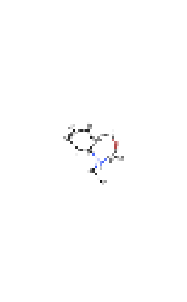 CCBr.CCN(CC)c1ccccc1